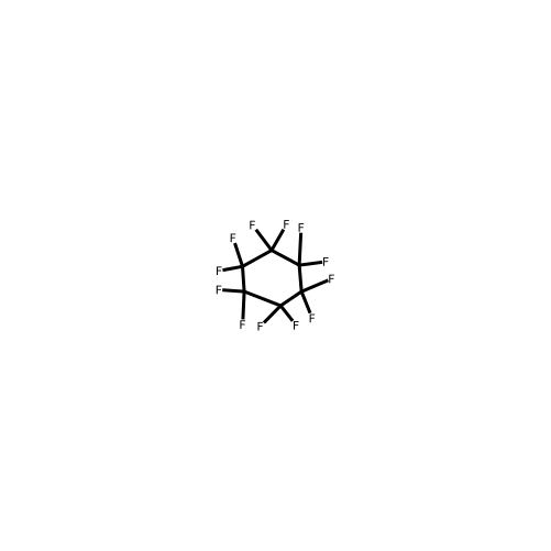 FC1(F)C(F)(F)C(F)(F)C(F)(F)C(F)(F)C1(F)F